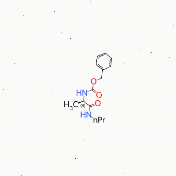 CCCNC(=O)[C@@H](C)NC(=O)OCc1ccccc1